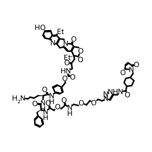 CCc1c2c(nc3ccc(O)cc13)Cc1cc3c(c(=O)n1C2)COC(=O)[C@@]3(CC)CC(=O)CNC(=O)OCc1ccc(NC(=O)[C@H](CCCCN)NC(=O)[C@H](Cc2ccccc2)NC(=O)COCC(=O)NCCOCCOCCn2cc(CNC(=O)C3CCC(CN4C(=O)C=CC4=O)CC3)nn2)cc1